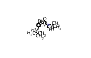 C=C(NCc1ccc(Cl)c(-c2nc(/C(C=N)=C/NC(C)C)cc(=O)[nH]2)c1)C(C)C